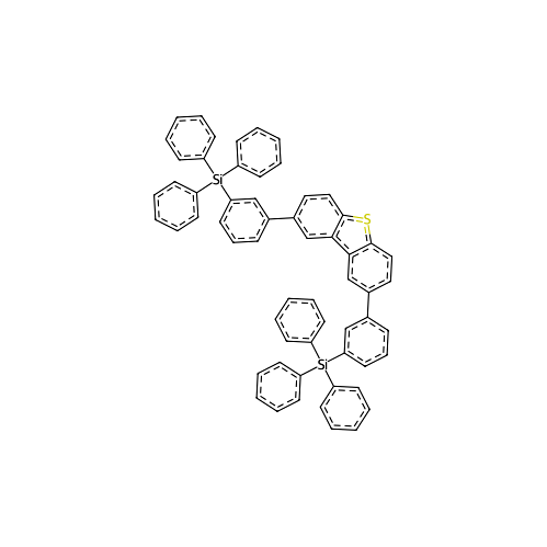 c1ccc([Si](c2ccccc2)(c2ccccc2)c2cccc(-c3ccc4sc5ccc(-c6cccc([Si](c7ccccc7)(c7ccccc7)c7ccccc7)c6)cc5c4c3)c2)cc1